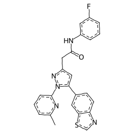 Cc1cccc(-n2nc(CC(=O)Nc3cccc(F)c3)cc2-c2ccc3ncsc3c2)n1